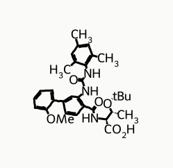 COc1ccccc1-c1ccc(C(=O)N[C@H](C(=O)O)[C@@H](C)OC(C)(C)C)c(NC(=O)Nc2c(C)cc(C)cc2C)c1